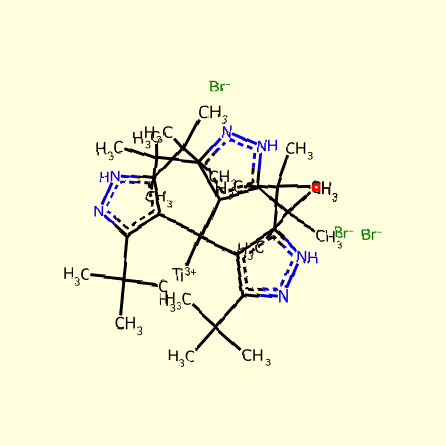 CC(C)(C)c1n[nH]c(C(C)(C)C)c1[C]([Ti+3])(c1c(C(C)(C)C)n[nH]c1C(C)(C)C)c1c(C(C)(C)C)n[nH]c1C(C)(C)C.[Br-].[Br-].[Br-]